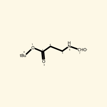 CC(C)(C)OC(=O)CCN[C]=O